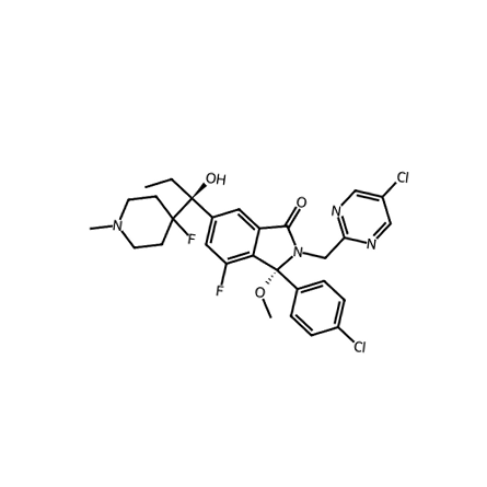 CC[C@](O)(c1cc(F)c2c(c1)C(=O)N(Cc1ncc(Cl)cn1)[C@@]2(OC)c1ccc(Cl)cc1)C1(F)CCN(C)CC1